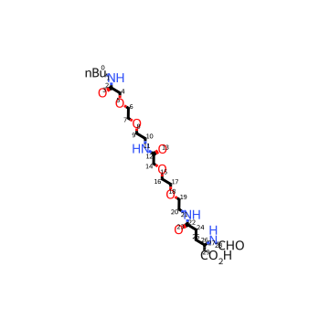 CCCCNC(=O)COCCOCCNC(=O)COCCOCCNC(=O)CCC(NC=O)C(=O)O